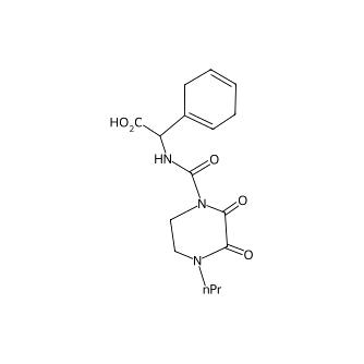 CCCN1CCN(C(=O)NC(C(=O)O)C2=CCC=CC2)C(=O)C1=O